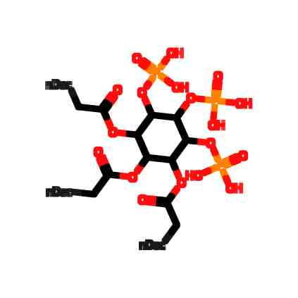 CCCCCCCCCCCC(=O)OC1C(OC(=O)CCCCCCCCCCC)C(OP(=O)(O)O)C(OP(=O)(O)O)C(OP(=O)(O)O)C1OC(=O)CCCCCCCCCCC